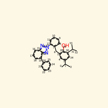 CC(C)c1cc(Cc2ccccc2-n2nc3cccc(-c4ccccc4)c3n2)c(O)c(C(C)C)c1